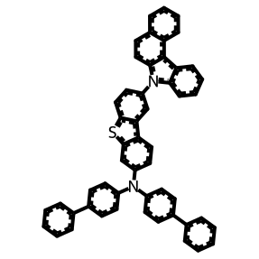 c1ccc(-c2ccc(N(c3ccc(-c4ccccc4)cc3)c3ccc4c(c3)sc3ccc(-n5c6ccccc6c6c7ccccc7ccc65)cc34)cc2)cc1